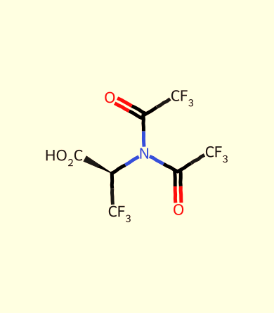 O=C(O)[C@@H](N(C(=O)C(F)(F)F)C(=O)C(F)(F)F)C(F)(F)F